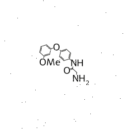 COc1cccc(Oc2ccc(NC(=O)CN)cc2)c1